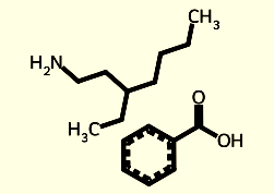 CCCCC(CC)CCN.O=C(O)c1ccccc1